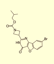 CC(C)COC(=O)N1CC(c2nc3c(oc4ccc(Br)cc43)c(=O)[nH]2)C1